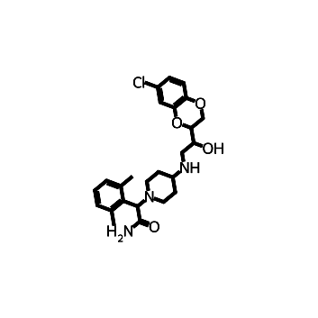 Cc1cccc(C)c1C(C(N)=O)N1CCC(NCC(O)C2COc3ccc(Cl)cc3O2)CC1